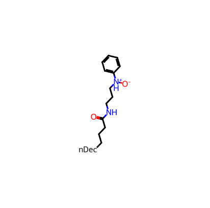 CCCCCCCCCCCCCC(=O)NCCC[NH+]([O-])c1ccccc1